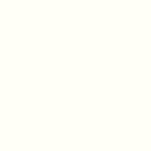 CC(=O)c1cc(SCC(F)(F)F)c(C)cc1F